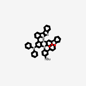 CCCCc1ccc(N2c3cc4sc5ccccc5c4cc3B3c4c(cc(N(c5ccccc5)c5ccccc5)cc42)-c2cccc4c5c6ccccc6sc5n3c24)c(-c2ccccc2)c1